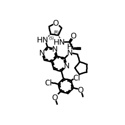 C=CC(=O)N[C@H]1COC[C@H]1Nc1ncc2cc(-c3c(Cl)c(OC)cc(OC)c3Cl)nc(NCC3CCCC3)c2n1